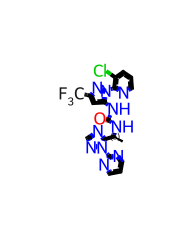 C[C@H](NC(=O)Nc1cc(C(F)(F)F)nn1-c1ncccc1Cl)c1ncnn1-c1ncccn1